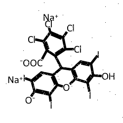 O=C([O-])c1c(Cl)c(Cl)c(Cl)c(Cl)c1C1c2cc(I)c([O-])c(I)c2Oc2c1cc(I)c(O)c2I.[Na+].[Na+]